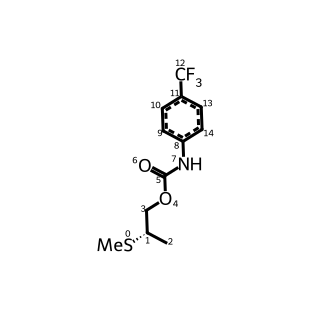 CS[C@@H](C)COC(=O)Nc1ccc(C(F)(F)F)cc1